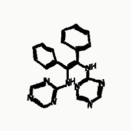 c1ccc(C(Nc2ncncn2)=C(Nc2ncncn2)c2ccccc2)cc1